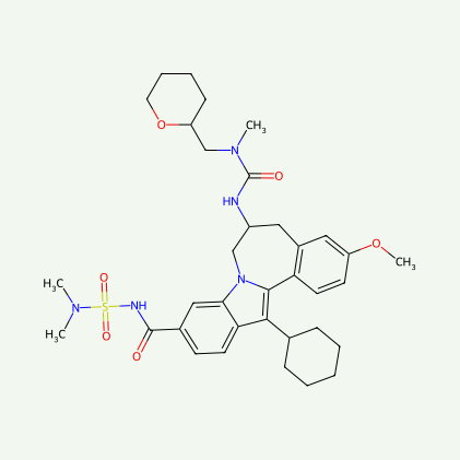 COc1ccc2c(c1)CC(NC(=O)N(C)CC1CCCCO1)Cn1c-2c(C2CCCCC2)c2ccc(C(=O)NS(=O)(=O)N(C)C)cc21